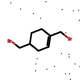 BrCC1=CCC(CBr)CC1